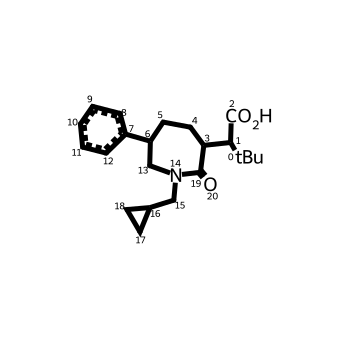 CC(C)(C)C(C(=O)O)C1CCC(c2ccccc2)CN(CC2CC2)C1=O